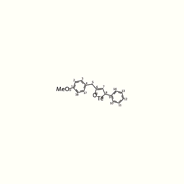 COc1ccc(CC2=CC(c3ccccc3)[Te]O2)cc1